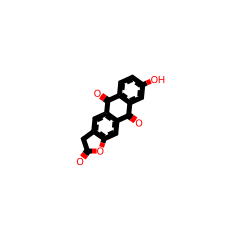 O=C1Cc2cc3c(cc2O1)C(=O)c1cc(O)ccc1C3=O